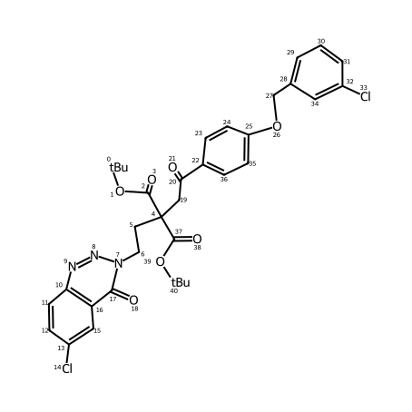 CC(C)(C)OC(=O)C(CCn1nnc2ccc(Cl)cc2c1=O)(CC(=O)c1ccc(OCc2cccc(Cl)c2)cc1)C(=O)OC(C)(C)C